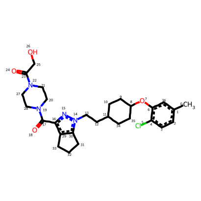 Cc1ccc(Cl)c(OC2CCC(CCn3nc(C(=O)N4CCN(C(=O)CO)CC4)c4c3CCC4)CC2)c1